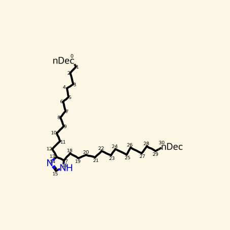 CCCCCCCCCCCCCCCCCCCCCCC1N=CNC1CCCCCCCCCCCCCCCCCCCCCC